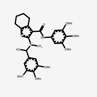 COc1cc(NC(=O)c2c(N(C)C(O)c3cc(OC)c(OC)c(OC)c3)sc3c2CCCC3)cc(OC)c1OC